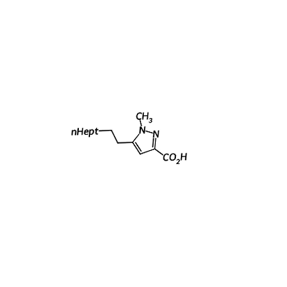 CCCCCCCCCc1cc(C(=O)O)nn1C